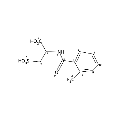 O=C(NC(CS(=O)(=O)O)C(=O)O)c1ccccc1C(F)(F)F